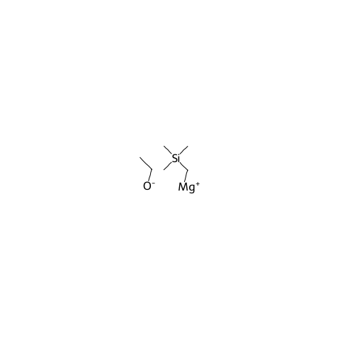 CC[O-].C[Si](C)(C)[CH2][Mg+]